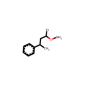 CCC(CC(C)c1ccccc1)O[SiH3]